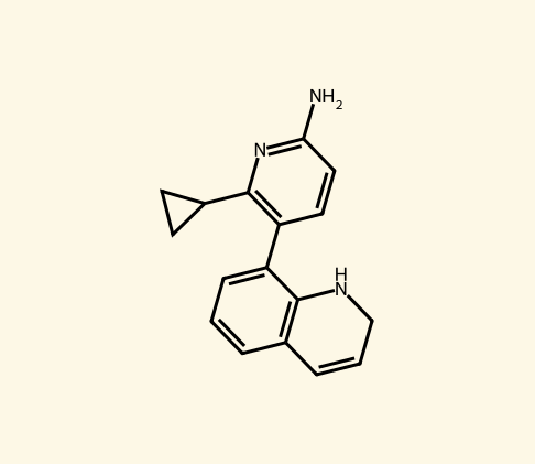 Nc1ccc(-c2cccc3c2NCC=C3)c(C2CC2)n1